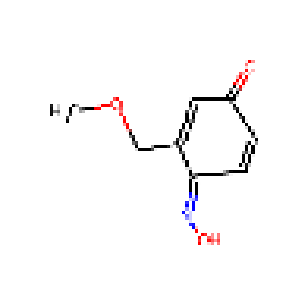 COCC1=CC(=O)C=CC1=NO